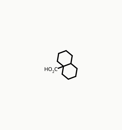 O=C(O)C12CCCCC1CCCC2